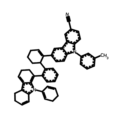 Cc1cccc(-n2c3ccc(C#N)cc3c3cc(C4=CCCCC4c4ccccc4C4=c5c(c6c(n5C5=CCCC=C5)C=CCC6)=CCC4)ccc32)c1